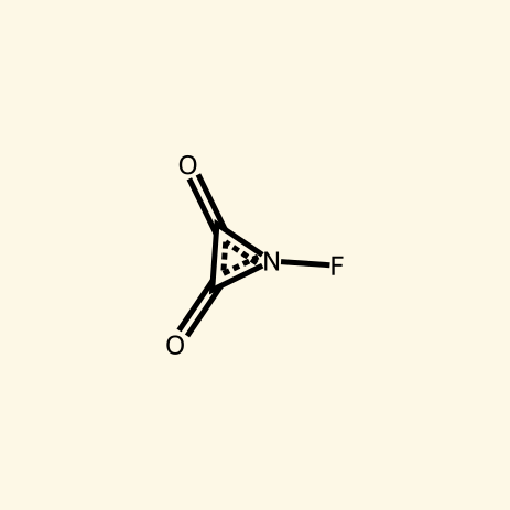 O=c1c(=O)n1F